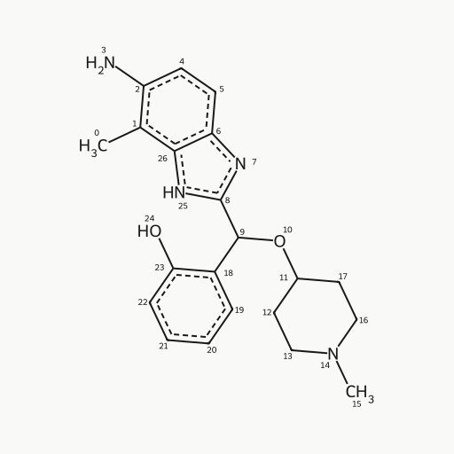 Cc1c(N)ccc2nc(C(OC3CCN(C)CC3)c3ccccc3O)[nH]c12